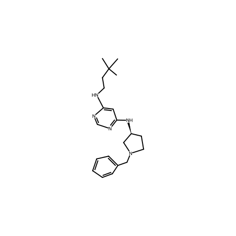 CC(C)(C)CCNc1cc(N[C@H]2CCN(Cc3ccccc3)C2)ncn1